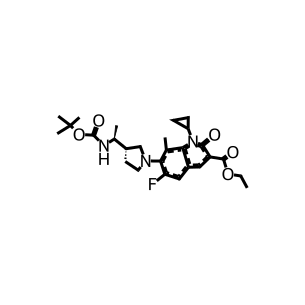 CCOC(=O)c1cc2cc(F)c(N3CC[C@H]([C@H](C)NC(=O)OC(C)(C)C)C3)c(C)c2n(C2CC2)c1=O